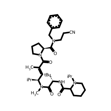 C/C(=C\[C@H](C(C)C)N(C)C(=O)[C@@H](NC(=O)C1CCCCN1C(C)C)C(C)(C)C)C(=O)N1CCC[C@H]1C(=O)N(CCC#N)Cc1ccccc1